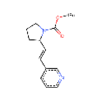 CC(C)(C)OC(=O)N1CCCC1/C=C/c1cccnc1